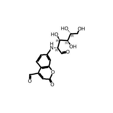 O=Cc1cc(=O)oc2cc(N[C@@H](C=O)[C@@H](O)[C@H](O)[C@H](O)CO)ccc12